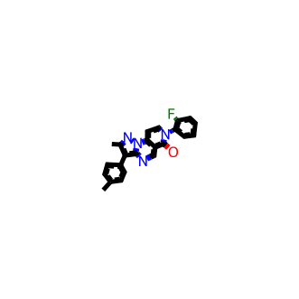 Cc1ccc(-c2c(C)nn3c2ncc2c(=O)n(-c4ccccc4F)ccc23)cc1